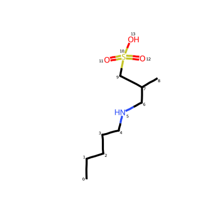 CCCCCNCC(C)CS(=O)(=O)O